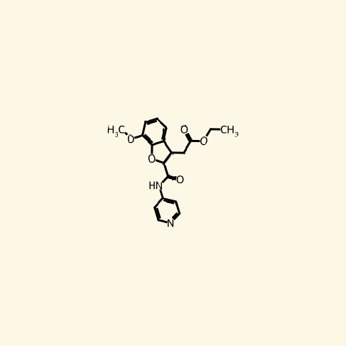 CCOC(=O)CC1c2cccc(OC)c2OC1C(=O)Nc1ccncc1